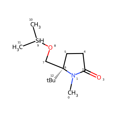 CN1C(=O)CC[C@@]1(CO[SiH](C)C)C(C)(C)C